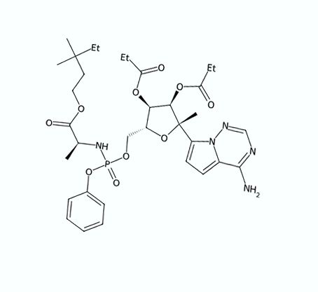 CCC(=O)O[C@H]1[C@@H](OC(=O)CC)[C@](C)(c2ccc3c(N)ncnn23)O[C@@H]1COP(=O)(N[C@@H](C)C(=O)OCCC(C)(C)CC)Oc1ccccc1